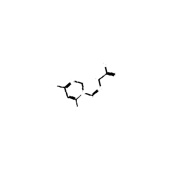 CC1=CC(C)=NCN1/C=N\CC(N)=O